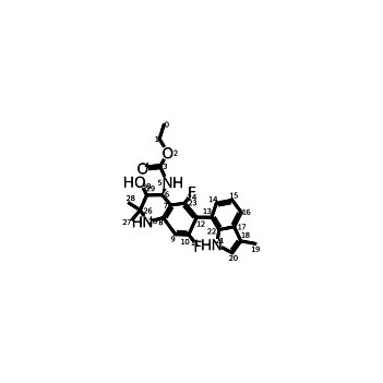 CCOC(=O)N[C@H]1c2c(cc(F)c(-c3cccc4c(C)c[nH]c34)c2F)NC(C)(C)C1O